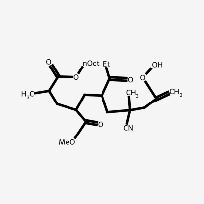 C=C(CC(C)(C#N)CC(CC(CC(C)C(=O)OCCCCCCCC)C(=O)OC)C(=O)CC)OO